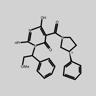 CCCc1nc(O)c(C(=O)N2CC[C@@H](c3ccccc3)C2)c(=O)n1C(COC)c1ccccc1